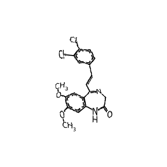 COc1cc2c(cc1OC)C(C=Cc1ccc(Cl)c(Cl)c1)=NCC(=O)N2